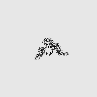 NCCCC(O)(P(=O)([O-])[O-])P(=O)([O-])[O-].NCCCC(O)(P(=O)([O-])[O-])P(=O)([O-])[O-].O=P([O-])([O-])[O-].O=P([O-])([O-])[O-].[Zn+2].[Zn+2].[Zn+2].[Zn+2].[Zn+2].[Zn+2].[Zn+2]